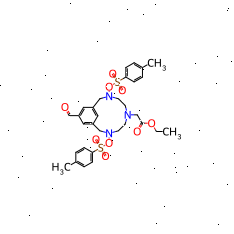 CCOC(=O)CN1CCN(OS(=O)(=O)c2ccc(C)cc2)Cc2cc(C=O)cc(c2)CN(OS(=O)(=O)c2ccc(C)cc2)CC1